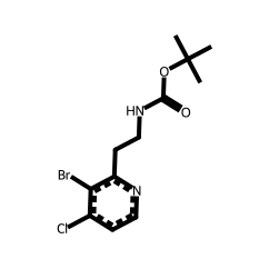 CC(C)(C)OC(=O)NCCc1nccc(Cl)c1Br